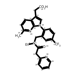 CCN(Cc1cc(C(F)(F)F)ccc1-n1cc(CC(=O)O)c2ccc(C)nc21)C(=O)Cc1ccccn1